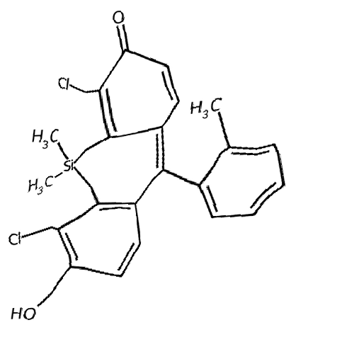 Cc1ccccc1C1=C2C=CC(=O)C(Cl)=C2[Si](C)(C)c2c1ccc(O)c2Cl